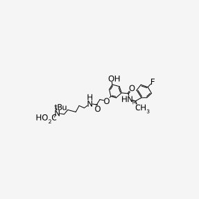 C[C@@H](NC(=O)c1cc(O)cc(OCC(=O)NCCCCCN(C(=O)O)C(C)(C)C)c1)c1ccc(F)cc1